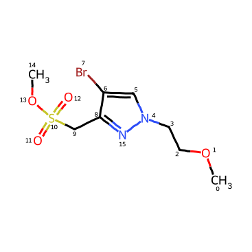 COCCn1cc(Br)c(CS(=O)(=O)OC)n1